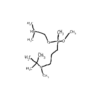 CO[Si](C)(CCCN(C)C(C)(C)C)OC[SiH](C)C